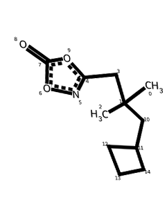 CC(C)(Cc1noc(=O)o1)CC1CCC1